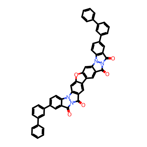 O=c1c2cc(-c3cccc(-c4ccccc4)c3)ccc2n2c3cc4oc5cc6c(cc5c4cc3c(=O)n12)c(=O)n1c(=O)c2cc(-c3cccc(-c4ccccc4)c3)ccc2n61